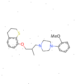 COc1ccccc1N1CCN(CC(C)COc2cccc3c2SCCC3)CC1